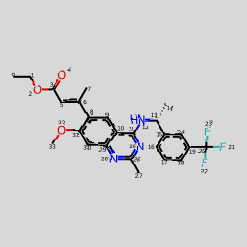 CCOC(=O)/C=C(\C)c1cc2c(N[C@H](C)c3cccc(C(F)(F)F)c3)nc(C)nc2cc1OC